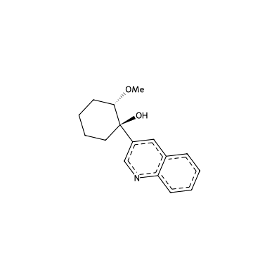 CO[C@H]1CCCC[C@@]1(O)c1cnc2ccccc2c1